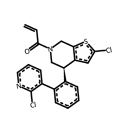 C=CC(=O)N1Cc2sc(Cl)cc2[C@@H](c2ccccc2-c2cccnc2Cl)C1